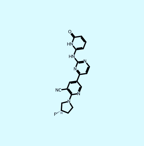 N#Cc1cc(-c2ccnc(Nc3cccc(=O)[nH]3)n2)cnc1N1CC[C@H](F)C1